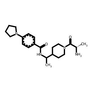 CC(NC(=O)c1ccc(N2CCCC2)cc1)C1CCN(C(=O)[C@H](C)N)CC1